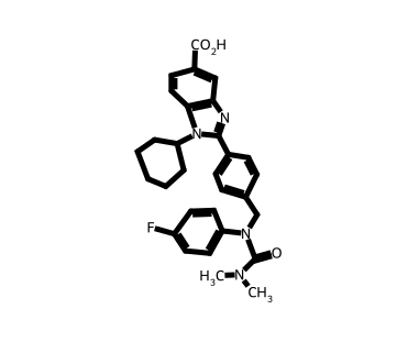 CN(C)C(=O)N(Cc1ccc(-c2nc3cc(C(=O)O)ccc3n2C2CCCCC2)cc1)c1ccc(F)cc1